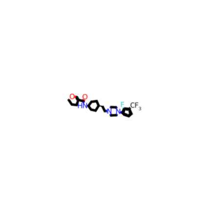 O=C(N[C@H]1CC[C@H](CCN2CCN(c3cccc(C(F)(F)F)c3F)CC2)CC1)C1=COCCC1